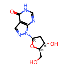 O=c1[nH]cnc2c1cnn2[C@H]1C[C@H](O)[C@@H](CO)O1